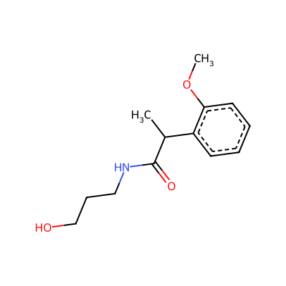 COc1ccccc1C(C)C(=O)NCCCO